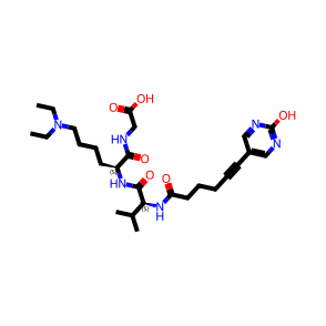 CCN(CC)CCCC[C@H](NC(=O)[C@@H](NC(=O)CCCC#Cc1cnc(O)nc1)C(C)C)C(=O)NCC(=O)O